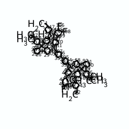 C=Cc1ccc(Oc2ccc(C3(c4ccc(C(C)(C)C)cc4)c4ccccc4-c4ccc(N(c5ccc(-c6ccc(N(c7ccc(-c8ccc(F)c(F)c8)cc7)c7ccc8c(c7)C(c7ccc(Oc9ccc(C=C)cc9)cc7)(c7ccc(C(C)(C)C)cc7)c7ccccc7-8)cc6)cc5)c5ccc(-c6ccc(F)c(F)c6)cc5)cc43)cc2)cc1